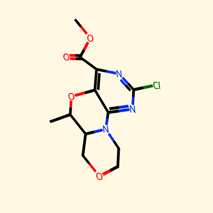 COC(=O)c1nc(Cl)nc2c1OC(C)C1COCCN21